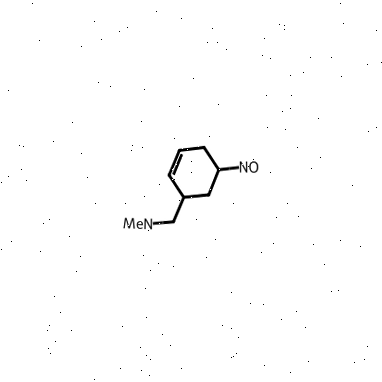 CNCC1C=CCC(N=O)C1